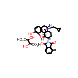 Cc1cccc2c1C(=O)N([C@@H]1CCC3(O)[C@H]4Cc5ccc(O)c6c5[C@@]3(CCN4CC3CC3)[C@H]1O6)C2=O.O=C(O)C(O)C(O)C(=O)O